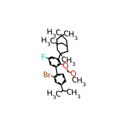 COCOc1c(-c2ccc(C(C)C)cc2Br)cc(F)cc1C1(C)CC2CC(C)(C)CC(C)(C2)C1